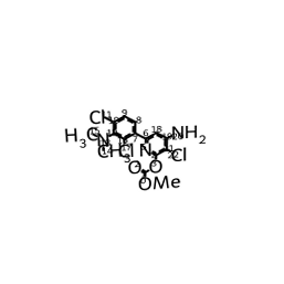 COC(=O)Oc1nc(-c2ccc(Cl)c(N(C)C)c2Cl)cc(N)c1Cl